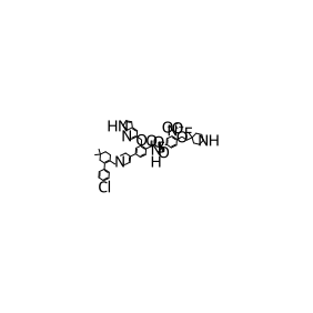 CC1(C)CCC(CN2CC=C(c3ccc(C(=O)NS(=O)(=O)c4ccc(OCC5(F)CCNCC5)c([N+](=O)[O-])c4)c(Oc4cnc5[nH]ccc5c4)c3)CC2)=C(c2ccc(Cl)cc2)C1